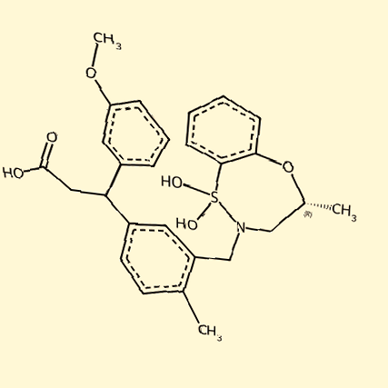 COc1cccc(C(CC(=O)O)c2ccc(C)c(CN3C[C@@H](C)Oc4ccccc4S3(O)O)c2)c1